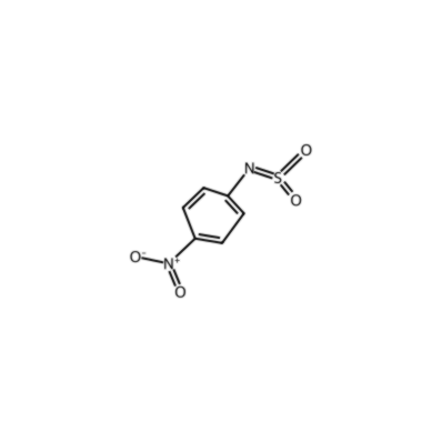 O=[N+]([O-])c1ccc(N=S(=O)=O)cc1